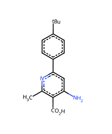 Cc1nc(-c2ccc(C(C)(C)C)cc2)cc(N)c1C(=O)O